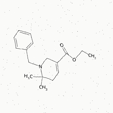 CCOC(=O)C1=CCC(C)(C)N(Cc2ccccc2)C1